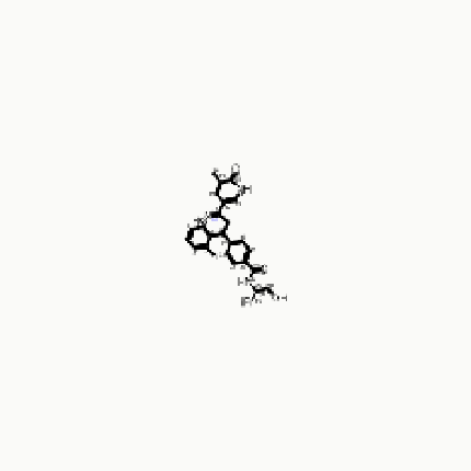 Cc1ccccc1C(C/C(=N\O)c1c[nH]c(=O)c(C)c1)c1ccc(C(=O)N[C@@H](CO)C(C)C)cc1